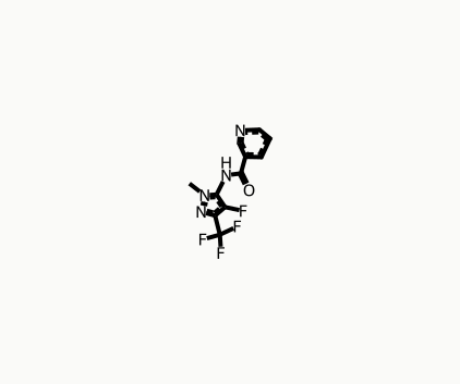 Cn1nc(C(F)(F)F)c(F)c1NC(=O)c1cccnc1